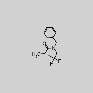 CCC(=O)N(Cc1ccccc1)CC(F)(F)F